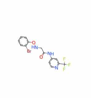 O=C(CNOc1ccccc1Br)Nc1ccnc(C(F)(F)F)c1